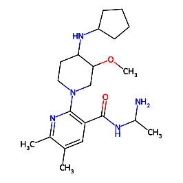 COC1CN(c2nc(C)c(C)cc2C(=O)NC(C)N)CCC1NC1CCCC1